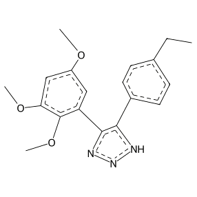 CCc1ccc(-c2[nH]nnc2-c2cc(OC)cc(OC)c2OC)cc1